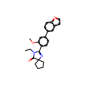 CCN1C(=O)C2(CCCC2)N=C1c1ccc(-c2ccc3occc3c2)cc1OC